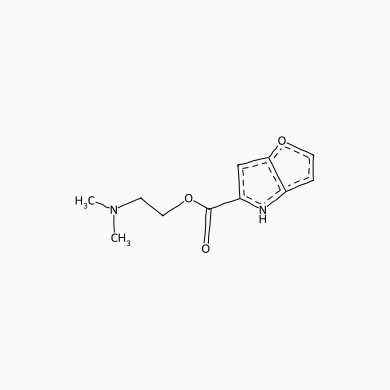 CN(C)CCOC(=O)c1cc2occc2[nH]1